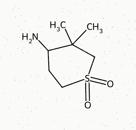 CC1(C)CS(=O)(=O)CCC1N